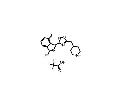 CC(C)c1nn(-c2noc(CC3CCNCC3)n2)c2c(F)cccc12.O=C(O)C(F)(F)F